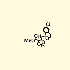 COC(O)C1OC(C)(C)OC1CC1OCCc2cc(Cl)ccc21